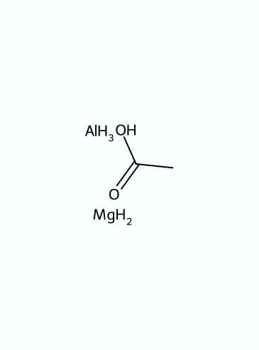 CC(=O)O.[AlH3].[MgH2]